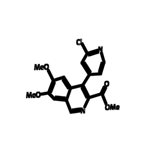 COC(=O)c1ncc2cc(OC)c(OC)cc2c1-c1ccnc(Cl)c1